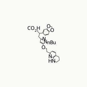 CCCCn1nc(CC(CC(=O)O)c2ccc3c(c2)OCO3)cc1OCCc1ccc2c(n1)NCCC2